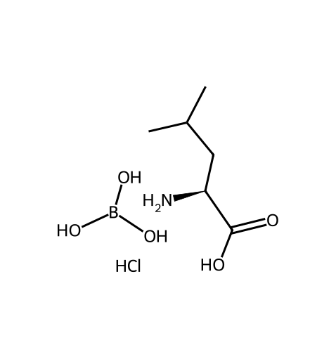 CC(C)C[C@H](N)C(=O)O.Cl.OB(O)O